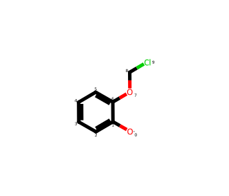 [O]c1ccccc1OCCl